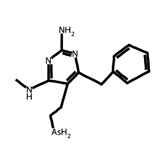 CNc1nc(N)nc(Cc2ccccc2)c1CC[AsH2]